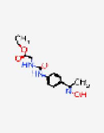 CCOC(=O)CNC(=O)Nc1ccc(/C(C)=N/O)cc1